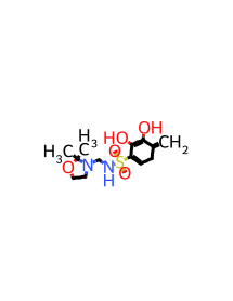 C=C1CC=C(S(=O)(=O)NCN2CCOC2(C)C)C(O)=C1O